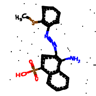 CSc1ccccc1N=Nc1cc(S(=O)(=O)O)c2ccccc2c1N